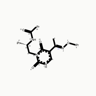 C/C(=N\OC(C)C)c1c[nH]c(=O)n(C[C@@H](NC(=O)C(C)C)C(C)C)c1=O